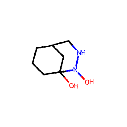 ON1NCC2CCCC1(O)C2